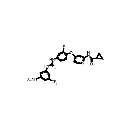 CC(=O)Nc1cc(NC(=O)Nc2ccc(Oc3ccnc(NC(=O)C4CC4)c3)c(F)c2)cc(C(F)(F)F)c1